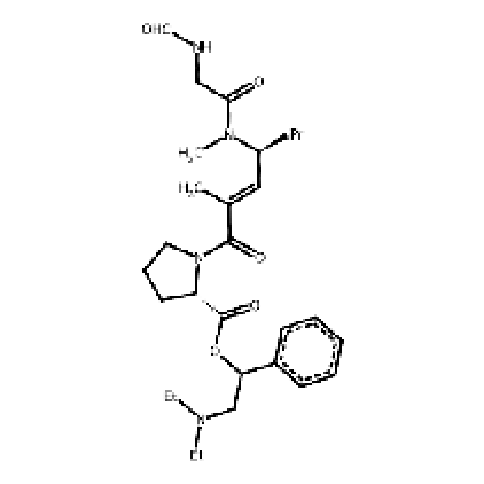 CCN(CC)CC(OC(=O)[C@@H]1CCCN1C(=O)/C(C)=C/[C@H](C(C)C)N(C)C(=O)CNC=O)c1ccccc1